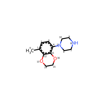 Cc1ccc(N2CCNCC2)c2c1OCCO2